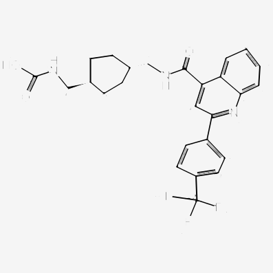 O=C(O)NC[C@H]1CC[C@H](CNC(=O)c2cc(-c3ccc(C(F)(F)F)cc3)nc3ccccc23)CC1